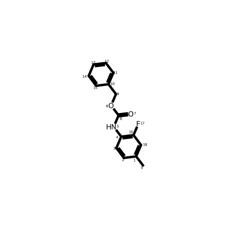 Cc1ccc(NC(=O)OCc2ccccc2)c(F)c1